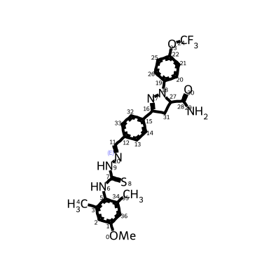 COc1cc(C)c(NC(=S)N/N=C/c2ccc(C3=NN(c4ccc(OC(F)(F)F)cc4)C(C(N)=O)C3)cc2)c(C)c1